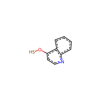 SOc1ccnc2ccccc12